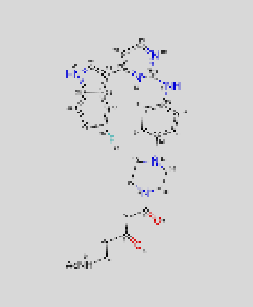 CC(=O)NCCC(=O)CC(=O)N1CCN(c2ccc(Nc3nccc(-c4c[nH]c5ccc(F)cc45)n3)cc2)CC1